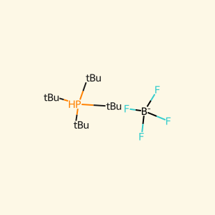 CC(C)(C)[PH](C(C)(C)C)(C(C)(C)C)C(C)(C)C.F[B-](F)(F)F